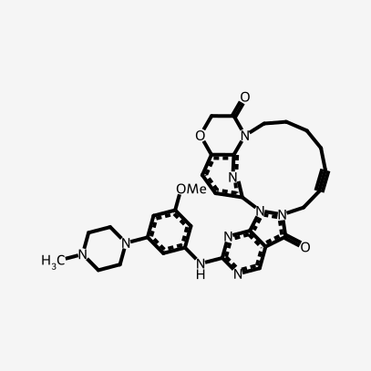 COc1cc(Nc2ncc3c(=O)n4n(c3n2)-c2ccc3c(n2)N(CCCCC#CC4)C(=O)CO3)cc(N2CCN(C)CC2)c1